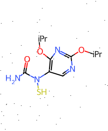 CC(C)Oc1ncc(N(S)C(N)=O)c(OC(C)C)n1